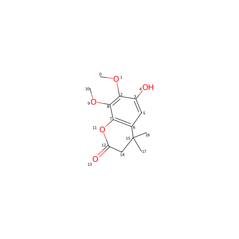 COc1c(O)cc2c(c1OC)OC(=O)CC2(C)C